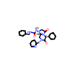 CCCN(C(=O)NCc1ccccc1)N1CC(=O)N2[C@@H](c3ccccc3)C(=O)N(Cc3ccccn3)C[C@@H]21